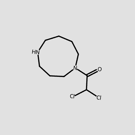 O=C(C(Cl)Cl)N1CCCCNCCC1